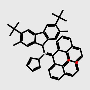 Cc1cc2c(cc1C(C)(C)C)-c1cc(C(C)(C)C)c(C)cc1[CH]2[Zr](=[C](c1cccc2ccccc12)c1cccc2ccccc12)[CH]1C=CC=C1